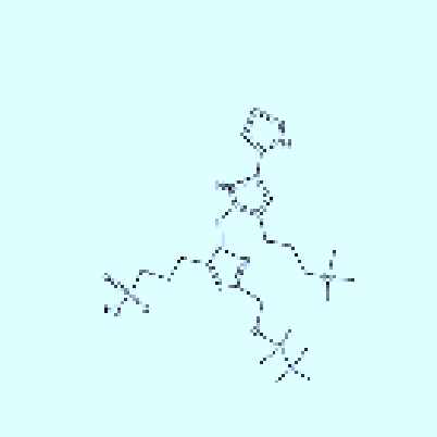 CC(C)(C)[Si](C)(C)OCC1=N/C(=C\c2[nH]c(-c3ccc[nH]3)cc2CCC[N+](C)(C)C)C(CCCS(=O)(=O)O)=C1